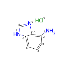 Cl.Nc1cccc2[nH]cnc12